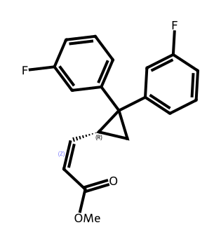 COC(=O)/C=C\[C@H]1CC1(c1cccc(F)c1)c1cccc(F)c1